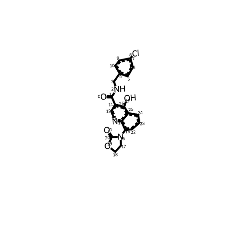 O=C(NCc1ccc(Cl)cc1)c1cnc2c(N3CCOC3=O)cccc2c1O